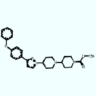 CC(C)(C)OC(=O)N1CCC(N2CCC(n3ccc(-c4ccc(Oc5ccccc5)cc4)n3)CC2)CC1